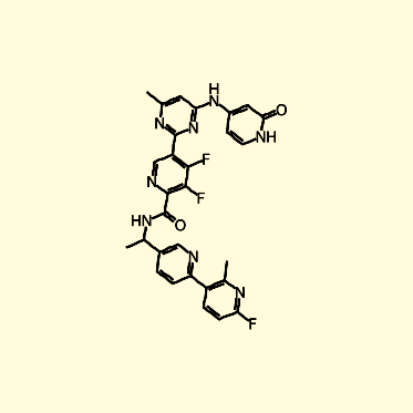 Cc1cc(Nc2cc[nH]c(=O)c2)nc(-c2cnc(C(=O)NC(C)c3ccc(-c4ccc(F)nc4C)nc3)c(F)c2F)n1